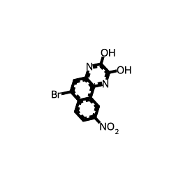 O=[N+]([O-])c1ccc2c(Br)cc3nc(O)c(O)nc3c2c1